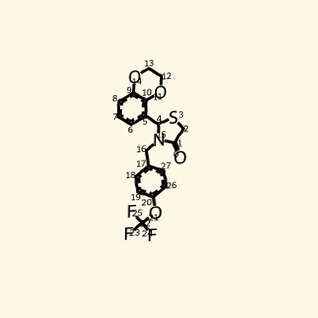 O=C1CSC(c2cccc3c2OCCO3)N1Cc1ccc(OC(F)(F)F)cc1